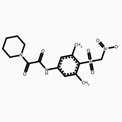 Cc1cc(NC(=O)C(=O)N2CCCCC2)cc(C)c1S(=O)(=O)C[N+](=O)[O-]